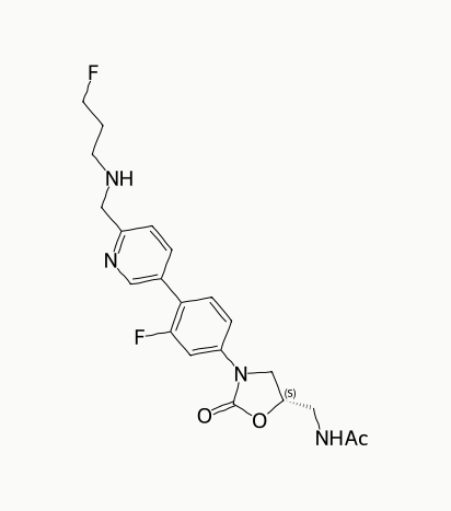 CC(=O)NC[C@H]1CN(c2ccc(-c3ccc(CNCCCF)nc3)c(F)c2)C(=O)O1